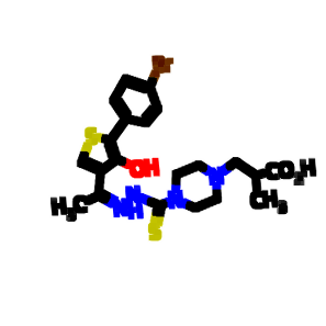 CC(=NNC(=S)N1CCN(CC(C)C(=O)O)CC1)c1csc(-c2ccc(Br)cc2)c1O